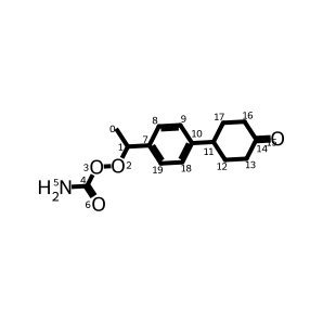 CC(OOC(N)=O)c1ccc(C2CCC(=O)CC2)cc1